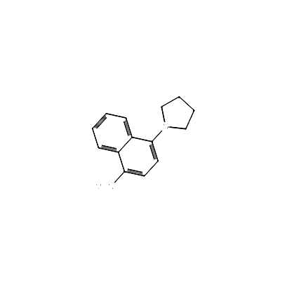 CNc1ccc(N2CCCC2)c2ccccc12